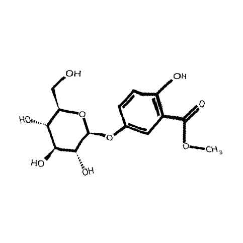 COC(=O)c1cc(O[C@@H]2O[C@H](CO)[C@@H](O)[C@H](O)[C@H]2O)ccc1O